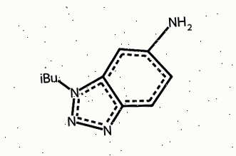 CCC(C)n1nnc2ccc(N)cc21